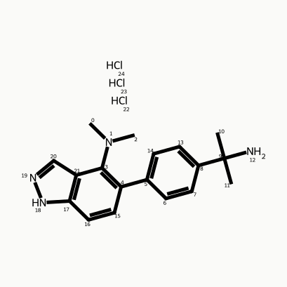 CN(C)c1c(-c2ccc(C(C)(C)N)cc2)ccc2[nH]ncc12.Cl.Cl.Cl